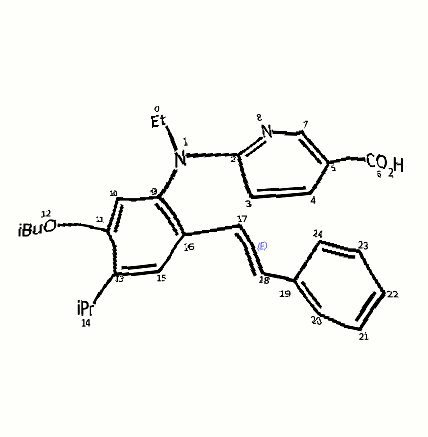 CCN(c1ccc(C(=O)O)cn1)c1cc(OCC(C)C)c(C(C)C)cc1/C=C/c1ccccc1